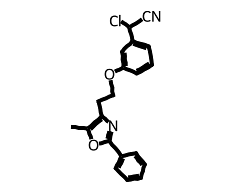 Cc1oc(-c2ccccc2)nc1CCOc1cccc(C(Cl)C#N)c1